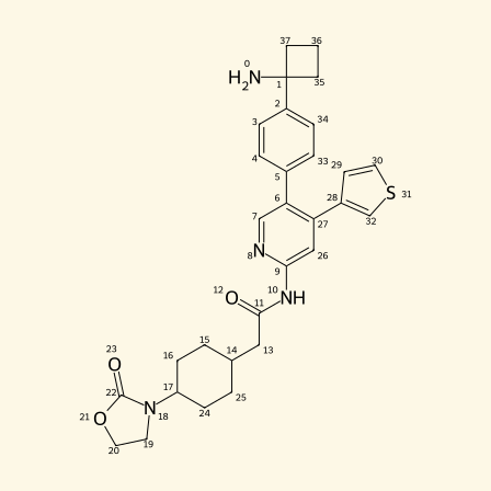 NC1(c2ccc(-c3cnc(NC(=O)CC4CCC(N5CCOC5=O)CC4)cc3-c3ccsc3)cc2)CCC1